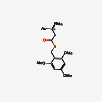 CN[C@@H](CC(=O)SCc1c(OC)cc(OC)cc1OC)C(C)=O